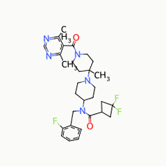 Cc1ncnc(C)c1C(=O)N1CCC(C)(N2CCC(N(Cc3ccccc3F)C(=O)C3CC(F)(F)C3)CC2)CC1